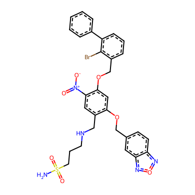 NS(=O)(=O)CCCNCc1cc([N+](=O)[O-])c(OCc2cccc(-c3ccccc3)c2Br)cc1OCc1ccc2nonc2c1